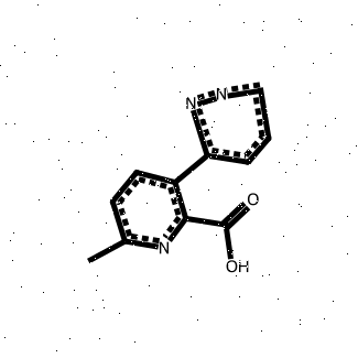 Cc1ccc(-c2cccnn2)c(C(=O)O)n1